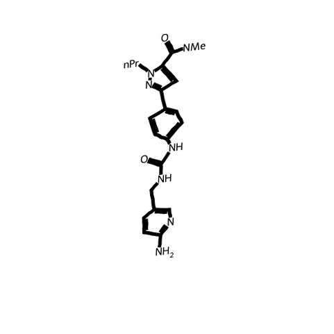 CCCn1nc(-c2ccc(NC(=O)NCc3ccc(N)nc3)cc2)cc1C(=O)NC